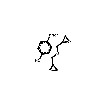 C(OCC1CO1)C1CO1.CCCCCCCCCc1ccc(O)cc1